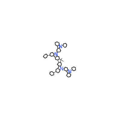 CC1(C)c2cc3c(cc2-c2cc4c5cc(-c6ccccc6)ccc5n(-c5ccc6c(c5)c5ccccc5n6-c5ccccc5)c4cc21)c1cc(-c2ccccc2)ccc1n3-c1ccc2c(c1)c1ccccc1n2-c1ccccc1